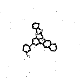 CC(C)c1cccc(-c2cc3c4cc5ccccc5cc4n4c3c(c2)n2c3ccccc3nc24)c1